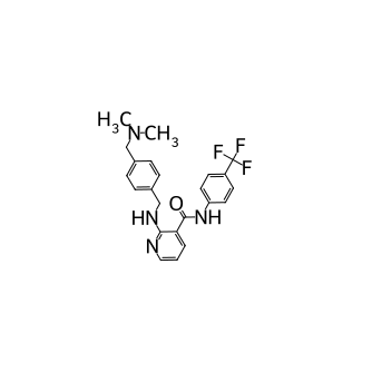 CN(C)Cc1ccc(CNc2ncccc2C(=O)Nc2ccc(C(F)(F)F)cc2)cc1